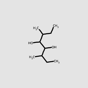 CCC(C)C(O)C(O)C(C)CC